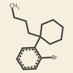 CCCCC1(c2ccccc2Br)CCCCC1